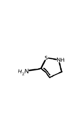 NC1=CCNS1